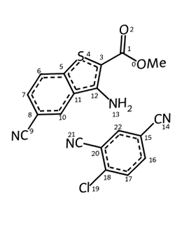 COC(=O)c1sc2ccc(C#N)cc2c1N.N#Cc1ccc(Cl)c(C#N)c1